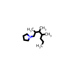 CCCC(C)C(C)C(C)CN1CCCC1